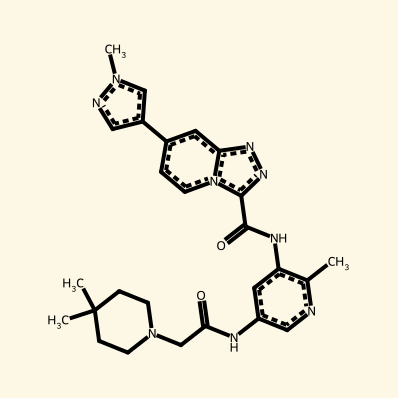 Cc1ncc(NC(=O)CN2CCC(C)(C)CC2)cc1NC(=O)c1nnc2cc(-c3cnn(C)c3)ccn12